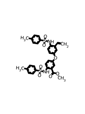 C=Cc1cc(Oc2ccc(NS(=O)(=O)c3ccc(C)cc3)c(C(=O)OC)c2)ccc1NS(=O)(=O)c1ccc(C)cc1